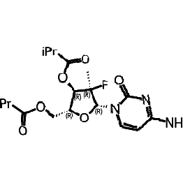 CC(C)C(=O)OC[C@H]1O[C@@H](n2ccc(N)nc2=O)[C@](C)(F)[C@@H]1OC(=O)C(C)C